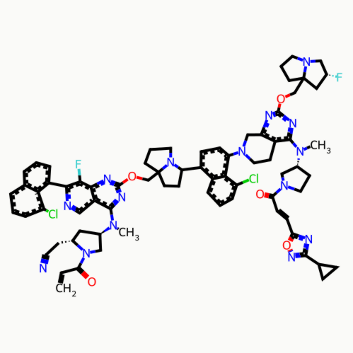 C=CC(=O)N1C[C@H](N(C)c2nc(OCC34CCCN3C(c3ccc(N5CCc6c(nc(OCC78CCCN7C[C@H](F)C8)nc6N(C)[C@@H]6CCN(C(=O)/C=C/c7nc(C8CC8)no7)C6)C5)c5c(Cl)cccc35)CC4)nc3c(F)c(-c4cccc5cccc(Cl)c45)ncc23)C[C@H]1CC#N